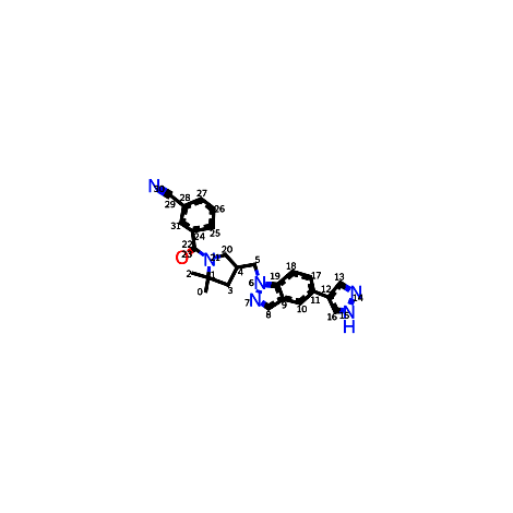 CC1(C)CC(Cn2ncc3cc(-c4cn[nH]c4)ccc32)CN1C(=O)c1cccc(C#N)c1